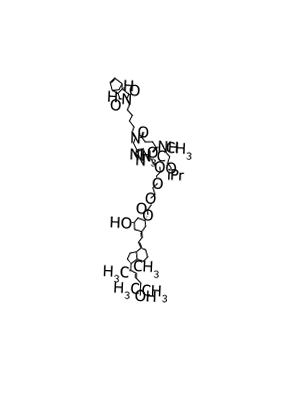 CC(C)OCCC(C)(C)NC(=O)CCC(=O)N(CCCCCCN1C(=O)[C@@H]2C3C=CC(C3)[C@@H]2C1=O)Cc1cn(CCOCCOCCOCC(=O)O[C@@H]2C/C(=C/C=C3\CCC[C@@]4(C)C3CC[C@@H]4[C@H](C)/C=C/CC(C)(C)O)C[C@@H](O)C2)nn1